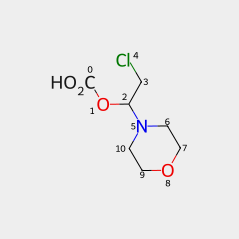 O=C(O)OC(CCl)N1CCOCC1